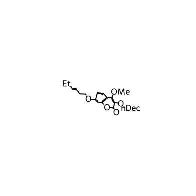 CC/C=C/CCOc1ccc2c(OC)c(OCCCCCCCCCC)c(=O)oc2c1